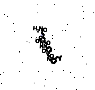 COC(=O)N[C@@H](CC/C=C/C(N)=O)C(=O)Nc1cccn(Cc2nc3cccc(CC(C)C)c3o2)c1=O